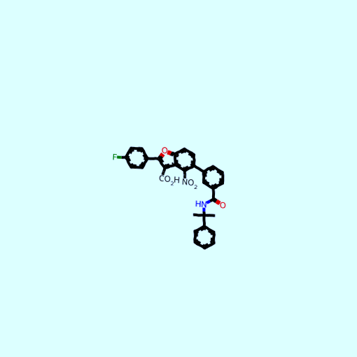 CC(C)(NC(=O)c1cccc(-c2ccc3oc(-c4ccc(F)cc4)c(C(=O)O)c3c2[N+](=O)[O-])c1)c1ccccc1